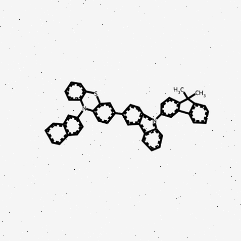 CC1(C)c2ccccc2-c2cc(-n3c4ccccc4c4cc(-c5ccc6c(c5)Sc5ccccc5N6c5ccc6ccccc6c5)ccc43)ccc21